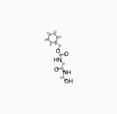 O=C(CNC(=O)OCc1ccccc1)NCO